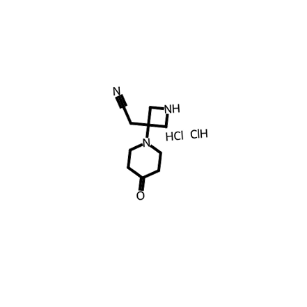 Cl.Cl.N#CCC1(N2CCC(=O)CC2)CNC1